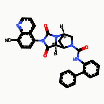 N#Cc1ccc(N2C(=O)[C@@H]3C4C[C@H](CN4C(=O)Nc4ccccc4-c4ccccc4)N3C2=O)c2cccnc12